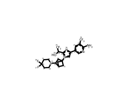 Nc1ncc(-c2cn(C34CC(C3)C(N3CCC(F)(F)CC3)C4)c(C(O)C(F)(F)F)n2)cc1C(F)(F)F